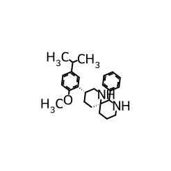 COc1ccc(C(C)C)cc1[C@H]1CC[C@]2(CCCNC2c2ccccc2)NC1